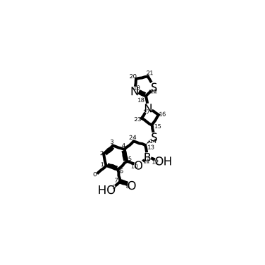 Cc1ccc2c(c1C(=O)O)OB(O)[C@@H](SC1CN(C3=NCCS3)C1)C2